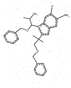 CC(O)C(OCc1ccccc1)n1c(C(C)(C)COCc2ccccc2)cc2cc(N)c(F)cc21